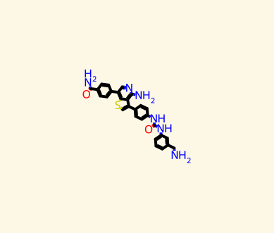 NCc1cccc(NC(=O)Nc2ccc(-c3csc4c(-c5ccc(C(N)=O)cc5)cnc(N)c34)cc2)c1